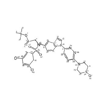 CC(C)(C)OC(=O)CN(c1ccc2c(ccn2-c2ccc(N3CC[S+]([O-])CC3)nn2)c1)S(=O)(=O)C1C=C(Cl)C=C(Cl)C1